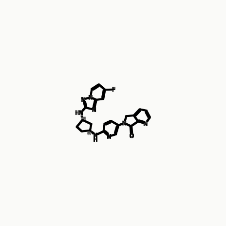 O=C1c2ncccc2CN1c1ccc(N[C@H]2CC[C@H](Nc3nc4cc(F)ccn4n3)C2)nc1